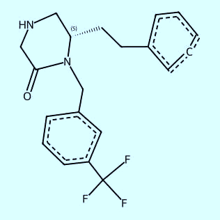 O=C1CNC[C@H](CCc2ccccc2)N1Cc1cccc(C(F)(F)F)c1